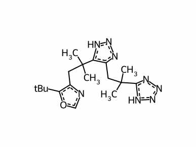 CC(C)(C)c1ocnc1CC(C)(C)c1[nH]nnc1CC(C)(C)c1nnn[nH]1